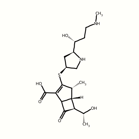 CNCC[C@@H](O)[C@@H]1C[C@H](SC2=C(C(=O)O)C3C(=O)[C@H]([C@@H](C)O)[C@H]3[C@H]2C)CN1